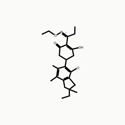 CCO/N=C(/CC)C1=C(O)CC(c2c(C)c(C)c3c(c2Cl)CC(C)(CC)C3)CC1=O